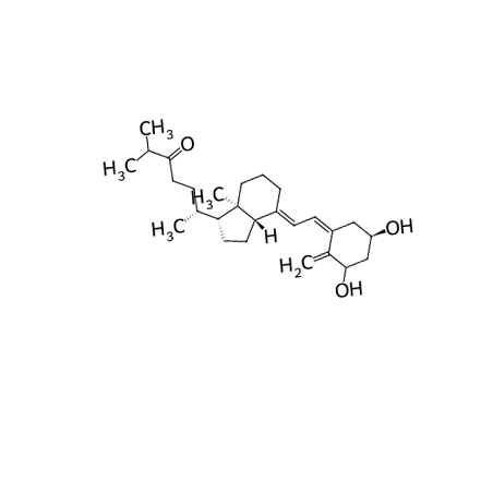 C=C1/C(=C\C=C2/CCC[C@]3(C)[C@@H]([C@H](C)CCC(=O)C(C)C)CC[C@@H]23)C[C@@H](O)CC1O